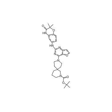 CC(C)(C)OC(=O)N1CCCC2(CCN(c3nc(Nc4ccc5c(c4)NC(=O)C(C)(C)O5)nc4ccoc34)CC2)C1